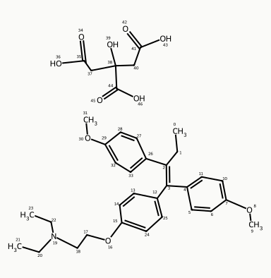 CC/C(=C(\c1ccc(OC)cc1)c1ccc(OCCN(CC)CC)cc1)c1ccc(OC)cc1.O=C(O)CC(O)(CC(=O)O)C(=O)O